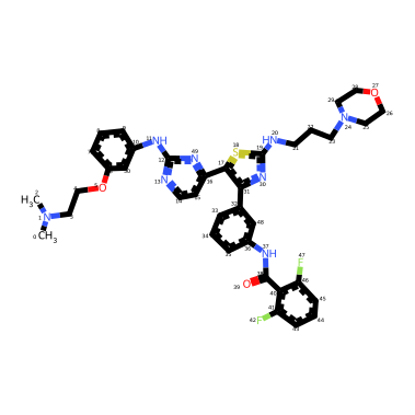 CN(C)CCOc1cccc(Nc2nccc(-c3sc(NCCCN4CCOCC4)nc3-c3cccc(NC(=O)c4c(F)cccc4F)c3)n2)c1